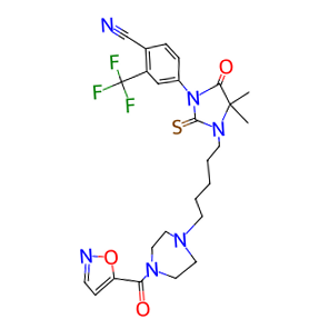 CC1(C)C(=O)N(c2ccc(C#N)c(C(F)(F)F)c2)C(=S)N1CCCCCN1CCN(C(=O)c2ccno2)CC1